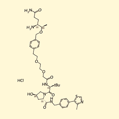 Cc1ncsc1-c1ccc(CNC(=O)[C@@H]2C[C@@H](O)CN2C(=O)[C@@H](NC(=O)COCCOCCc2ccc(CO[C@H](C)[C@@H](N)CCC(N)=O)cc2)C(C)(C)C)cc1.Cl